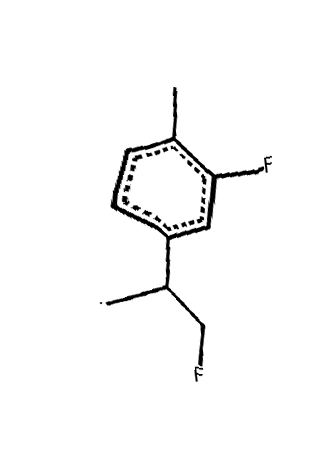 [CH2]C(CF)c1ccc(C)c(F)c1